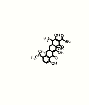 CCC(C)C(=O)C1=C(O)C(N)C2CC3Cc4c(N(C)C)ccc(O)c4C(=O)C3=C(O)C2(O)C1=O